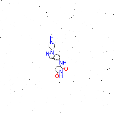 O=C1CCC(Nc2ccc3c(cnn3C3CCNCC3)c2)C(=O)N1